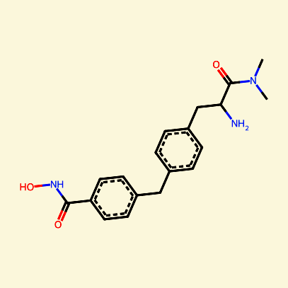 CN(C)C(=O)C(N)Cc1ccc(Cc2ccc(C(=O)NO)cc2)cc1